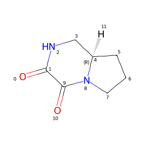 O=C1NC[C@H]2CCCN2C1=O